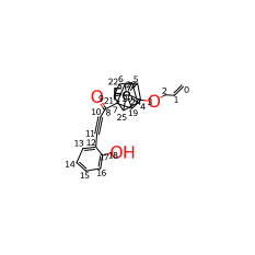 C=CCO[C]12[CH]3[CH]4[C]5(C(=O)C#Cc6ccccc6O)[CH]1[Fe]34251678[CH]2[CH]1[CH]6[CH]7[CH]28